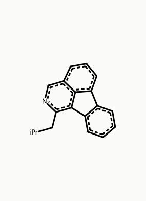 CC(C)Cc1ncc2cccc3c2c1-c1ccccc1-3